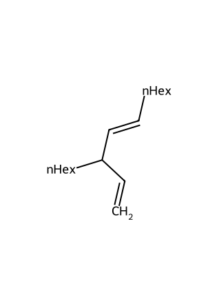 C=CC(C=CCCCCCC)CCCCCC